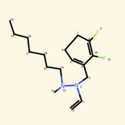 C=CN(CC1=CCCC(F)=C1F)N(C)CCCCCCC